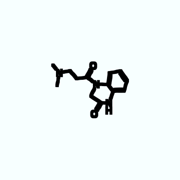 CN(C)CCC(=O)N1CC(=O)Nc2ccccc21